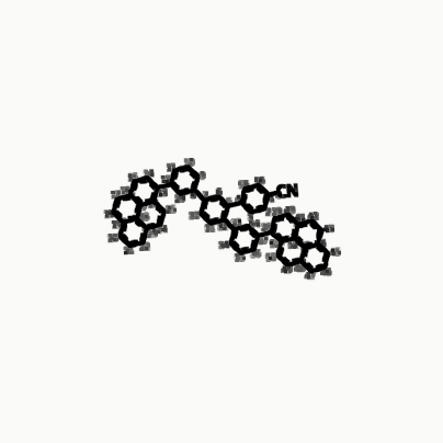 N#Cc1ccc(-c2cc(-c3cccc(-c4ccc5ccc6cccc7ccc4c5c67)c3)ccc2-c2cccc(-c3ccc4ccc5cccc6ccc3c4c56)c2)cc1